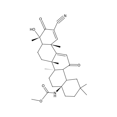 COC(=O)N[C@]12CCC(C)(C)CC1C1C(=O)C=C3[C@@]4(C)C=C(C#N)C(=O)[C@@](C)(O)C4CC[C@@]3(C)[C@]1(C)CC2